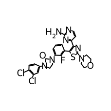 Nc1nccc(-c2nc(N3CCOCC3)sc2-c2cccc(N3CCN(c4ccc(Cl)c(Cl)c4)C3=O)c2F)n1